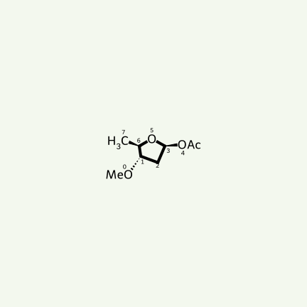 CO[C@H]1C[C@H](OC(C)=O)O[C@@H]1C